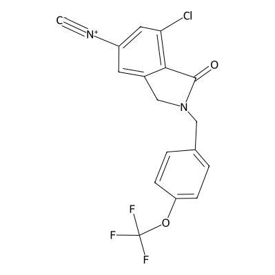 [C-]#[N+]c1cc(Cl)c2c(c1)CN(Cc1ccc(OC(F)(F)F)cc1)C2=O